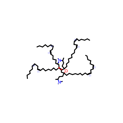 CCCCC/C=C\C/C=C\CCCCCCCCC(CCCCCCCC/C=C\C/C=C\CCCCC)(CCC(C)N(C)C)OC(CCCCCCCC/C=C\C/C=C\CCCCC)(CCCCCCCC/C=C\C/C=C\CCCCC)CCC(C)N(C)C